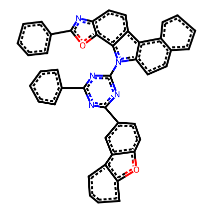 c1ccc(-c2nc(-c3ccc4oc5ccccc5c4c3)nc(-n3c4ccc5ccccc5c4c4ccc5nc(-c6ccccc6)oc5c43)n2)cc1